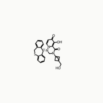 O=C1c2c(O)c(=O)ccn2N([C@H]2c3ccccc3CSc3ccccc32)CN1C12CC(CO)(C1)C2